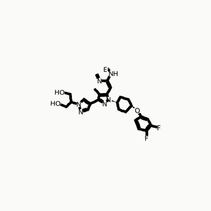 C=N/C(=C\c1c(C)c(-c2cnn(C(CO)CO)c2)nn1[C@H]1CC[C@@H](Oc2ccc(F)c(F)c2)CC1)NCC